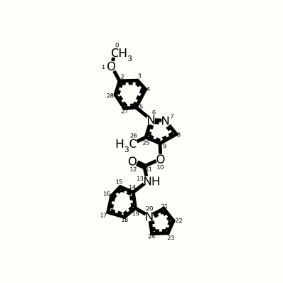 COc1ccc(-n2ncc(OC(=O)Nc3ccccc3-n3cccc3)c2C)cc1